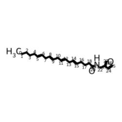 CCCCCC=CCC=CCC=CCC=CCCCC(=O)NCc1ccoc1